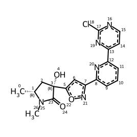 C[C@@H]1C[C@@](O)(c2cc(-c3cccc(-c4ccnc(Cl)n4)n3)no2)C(=O)N1C